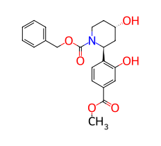 COC(=O)c1ccc([C@@H]2C[C@@H](O)CCN2C(=O)OCc2ccccc2)c(O)c1